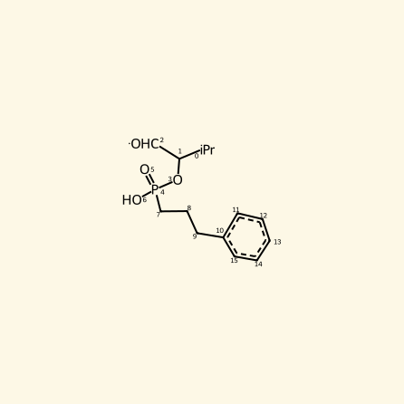 CC(C)C([C]=O)OP(=O)(O)CCCc1ccccc1